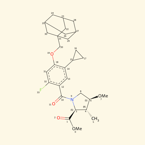 COC(=O)[C@@H]1[C@@H](C)[C@H](OC)CN1C(=O)c1cc(C2CC2)c(OCC23CC4CC(CC(C4)C2)C3)cc1F